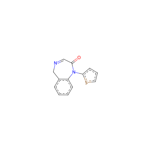 O=C1C=NCc2ccccc2N1c1cccs1